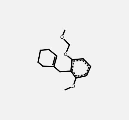 COCOc1cccc(OC)c1CC1=CCCCC1